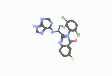 CC(Nc1ncnc2[nH]cnc12)c1nc2ccc(F)cc2c(=O)n1-c1cc(Cl)ccc1Cl